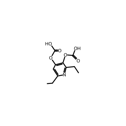 CCc1cc(OC(=O)O)c(OC(=O)O)c(CC)n1